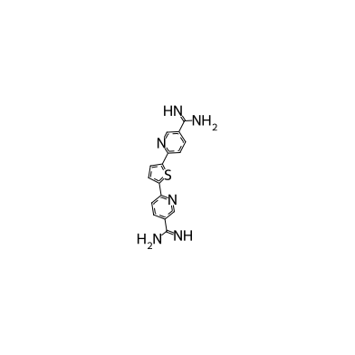 N=C(N)c1ccc(-c2ccc(-c3ccc(C(=N)N)cn3)s2)nc1